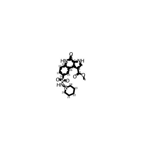 COC(=O)c1c[nH]c2c(=O)[nH]c3ccc(S(=O)(=O)NN4CCCCC4)cc3c12